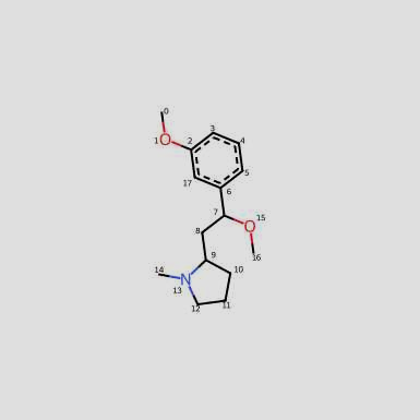 COc1cccc(C(CC2CCCN2C)OC)c1